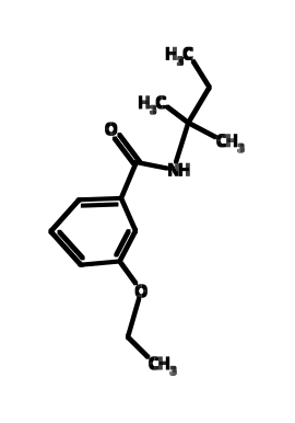 CCOc1cccc(C(=O)NC(C)(C)CC)c1